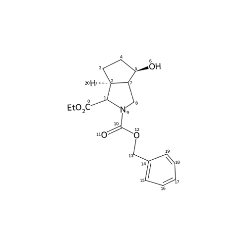 CCOC(=O)C1[C@H]2CC[C@@H](O)C2CN1C(=O)OCc1ccccc1